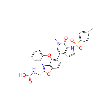 Cc1ccc(S(=O)(=O)n2ccc3c(-c4ccc5oc(CNC(=O)O)nc5c4Oc4ccccc4)cn(C)c(=O)c32)cc1